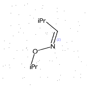 CC(C)/C=N\OC(C)C